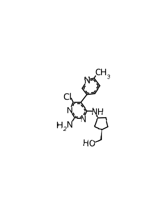 Cc1ccc(-c2c(Cl)nc(N)nc2N[C@H]2CC[C@@H](CO)C2)cn1